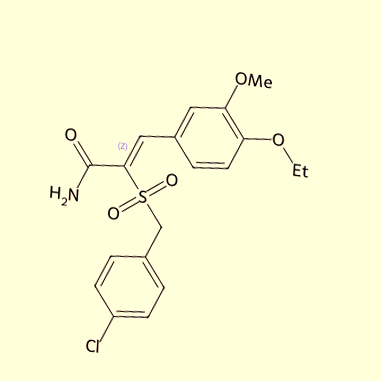 CCOc1ccc(/C=C(/C(N)=O)S(=O)(=O)Cc2ccc(Cl)cc2)cc1OC